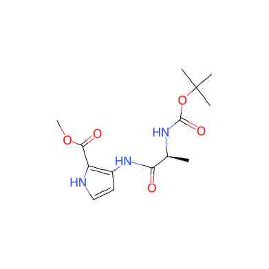 COC(=O)c1[nH]ccc1NC(=O)[C@H](C)NC(=O)OC(C)(C)C